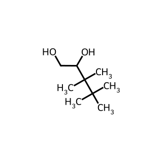 CC(C)(C)C(C)(C)C(O)CO